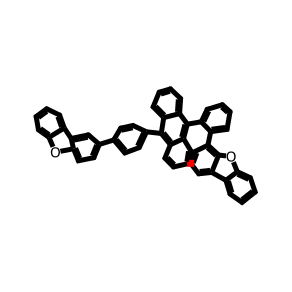 c1ccc(-c2cccc3c2oc2ccccc23)c(-c2c3ccccc3c(-c3ccc(-c4ccc5oc6ccccc6c5c4)cc3)c3ccccc23)c1